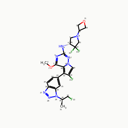 COc1nc(N[C@@H]2CN(C3COC3)CC2(F)F)nn2cc(F)c(-c3ccc4nnn([C@H](C)CF)c4c3)c12